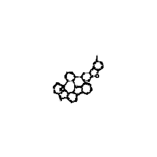 Cc1ccc2oc3ccc(-c4cccc(C#N)c4-n4c5ccccc5c5ccc6sc7ccccc7c6c54)cc3c2c1